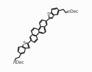 CCCCCCCCCCCCc1ccc2sc(-c3ccc4c(ccc5c6ccc(-c7cc8cc(CCCCCCCCCCCC)ccc8s7)cc6ccc45)c3)cc2c1